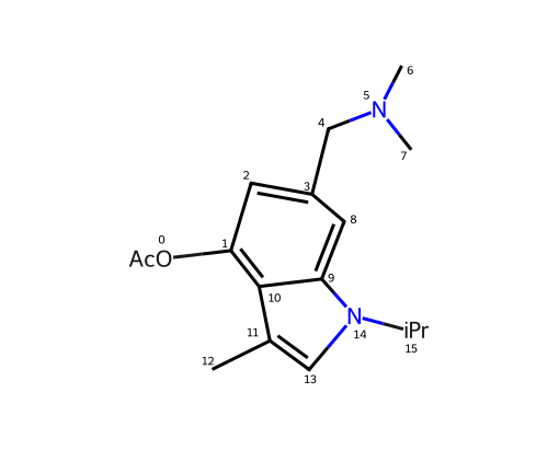 CC(=O)Oc1cc(CN(C)C)cc2c1c(C)cn2C(C)C